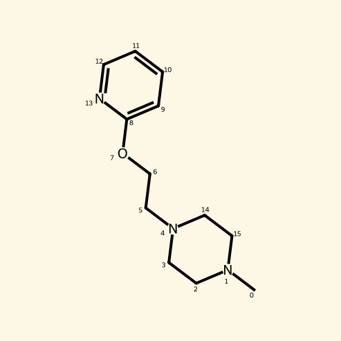 CN1CCN(CCOc2ccccn2)CC1